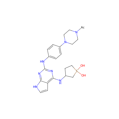 CC(=O)N1CCN(c2ccc(Nc3nc(NC4CCS(O)(O)C4)c4cc[nH]c4n3)cc2)CC1